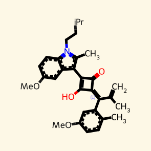 C=C(C)/C(=C1\C(=O)C(c2c(C)n(CCC(C)C)c3ccc(OC)cc23)=C1O)c1cc(OC)ccc1C